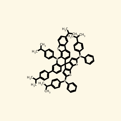 CC(C)c1ccc(-c2ccc3c(c2)N(c2ccc(C(C)C)cc2)c2c(ccc4c2sc2ccc(C(C)C)cc24)C32c3cc(N(c4ccccc4)c4ccc(C(C)C)cc4)sc3-c3sc(N(c4ccccc4)c4ccc(C(C)C)cc4)cc32)cc1